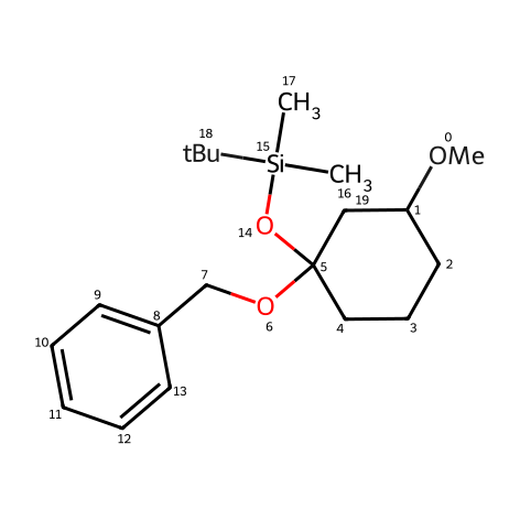 COC1CCCC(OCc2ccccc2)(O[Si](C)(C)C(C)(C)C)C1